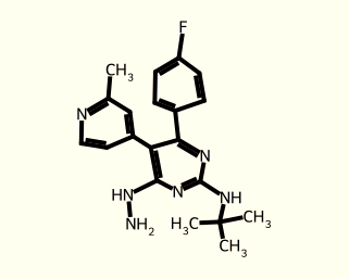 Cc1cc(-c2c(NN)nc(NC(C)(C)C)nc2-c2ccc(F)cc2)ccn1